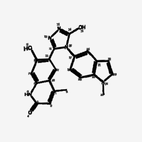 Cc1cc(=O)[nH]c2cc(O)c(-c3nnc(O)n3-c3ccc4c(ccn4C)c3)cc12